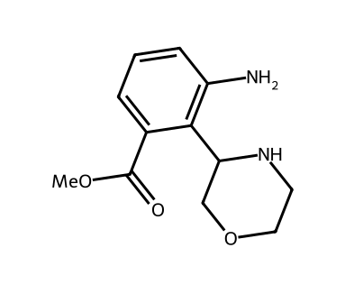 COC(=O)c1cccc(N)c1C1COCCN1